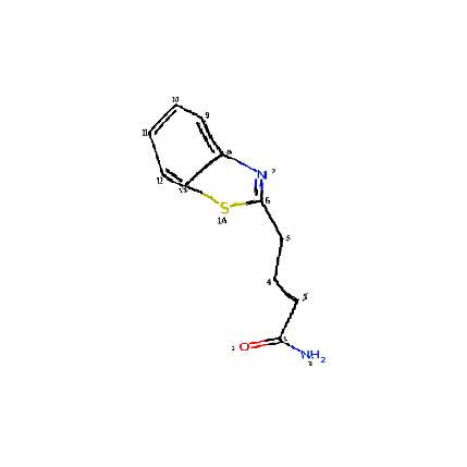 NC(=O)CCCc1nc2ccccc2s1